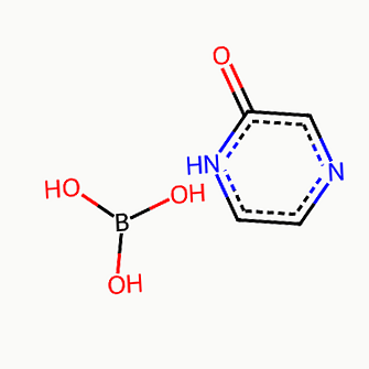 O=c1cncc[nH]1.OB(O)O